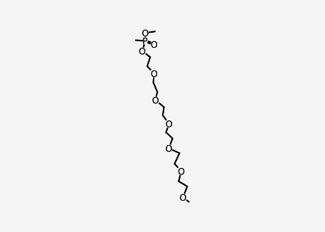 COCCOCCOCCOCCOCCOCCOP(C)(=O)OC